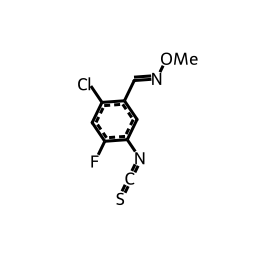 CO/N=C/c1cc(N=C=S)c(F)cc1Cl